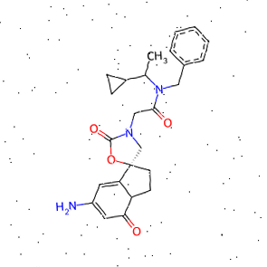 CC(C1CC1)N(Cc1ccccc1)C(=O)CN1C[C@@]2(CCC3C(=O)C=C(N)C=C32)OC1=O